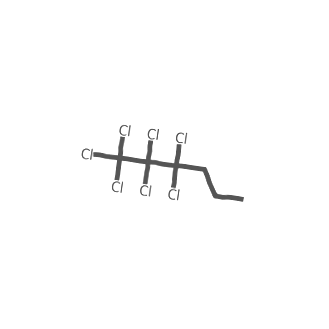 CCCC(Cl)(Cl)C(Cl)(Cl)C(Cl)(Cl)Cl